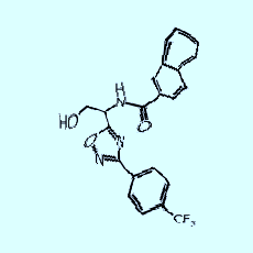 O=C(NC(CO)c1nc(-c2ccc(C(F)(F)F)cc2)no1)c1ccc2ccccc2c1